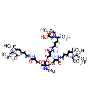 CC(C)(C)NC(COCCC(=O)NCCCCC(C(=O)O)N(CC(=O)O)CC(=O)O)(COCCC(=O)NCCCCC(C(=O)O)N(CC(=O)O)CC(=O)O)COCCC(=O)NCCCCC(C(=O)O)N(CC(=O)O)CC(O)O